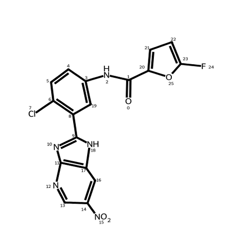 O=C(Nc1ccc(Cl)c(-c2nc3ncc([N+](=O)[O-])cc3[nH]2)c1)c1ccc(F)o1